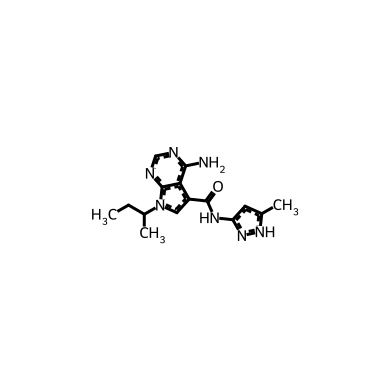 CCC(C)n1cc(C(=O)Nc2cc(C)[nH]n2)c2c(N)ncnc21